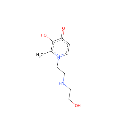 Cc1c(O)c(=O)ccn1CCNCCO